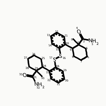 CC1(C(N)=O)CCCCC1c1ccccc1SSc1ccccc1C1CCCCC1(C)C(N)=O